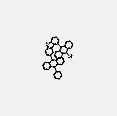 Sc1c2ccccc2c(-c2cccc3sc4ccc(-c5c6ccccc6c(-c6ccccc6)c6ccccc56)cc4c23)c2ccccc12